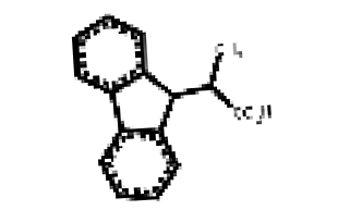 CC(C(=O)O)C1c2ccccc2-c2ccccc21